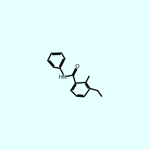 CCc1cccc(C(=O)Nc2ccccc2)c1C